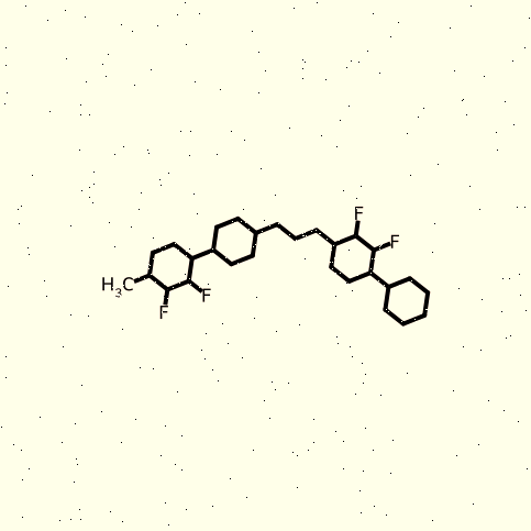 CC1CCC(C2CCC(CCCC3CCC(C4CCCCC4)C(F)C3F)CC2)C(F)C1F